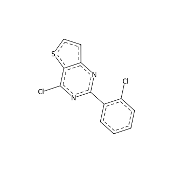 Clc1ccccc1-c1nc(Cl)c2sccc2n1